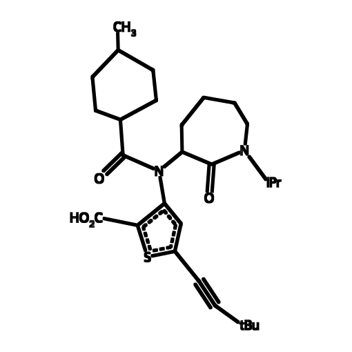 CC1CCC(C(=O)N(c2cc(C#CC(C)(C)C)sc2C(=O)O)C2CCCCN(C(C)C)C2=O)CC1